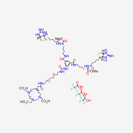 COC(=O)[C@H](CCCCNC(=O)c1cc(NC(=O)NCCOCCOCCNC(=O)CN2CCN(CC(=O)O)CCN(CC(=O)O)CCN(CC(=O)O)CC2)cc(C(=O)NCCCC[C@H](NC(=O)CCCC[C@@H]2SC[C@@H]3NC(=N)N[C@@H]32)C(=O)OC)c1)NC(=O)CCCC[C@@H]1SC[C@@H]2NC(=N)N[C@@H]21.O=C(O)C(F)(F)F.O=C(O)C(F)(F)F.O=C(O)C(F)(F)F